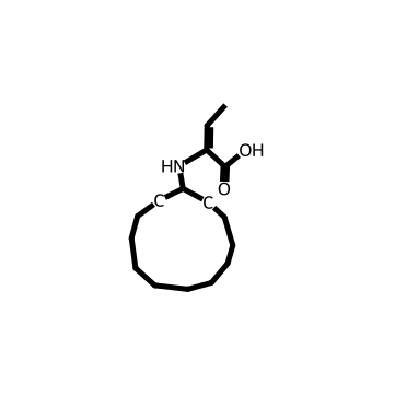 CC=C(NC1CCCCCCCCCCC1)C(=O)O